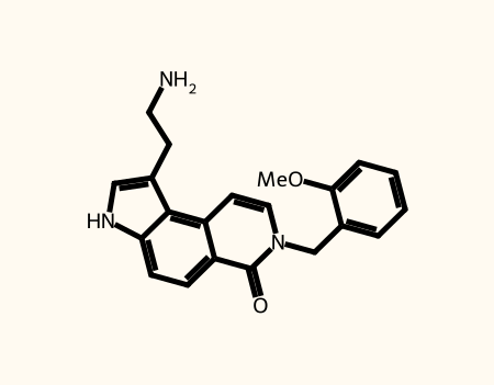 COc1ccccc1Cn1ccc2c(ccc3[nH]cc(CCN)c32)c1=O